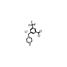 CN1CCN(Cc2cc(C(=O)[O-])cc(C(F)(F)F)c2)CC1.[Li+]